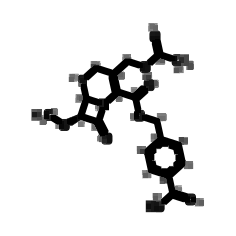 CO[C@@H]1C(=O)N2C(C(=O)OCc3ccc(C(=O)O)cc3)=C(COC(C)=O)CSC12